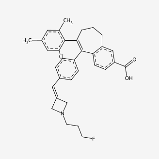 Cc1cc(C)c(C2=C(c3ccc(C=C4CN(CCCF)C4)cc3)c3ccc(C(=O)O)cc3CCC2)c(Cl)c1